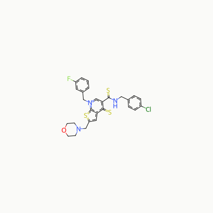 Fc1cccc(Cn2cc(C(=S)NCc3ccc(Cl)cc3)c(=S)c3cc(CN4CCOCC4)sc32)c1